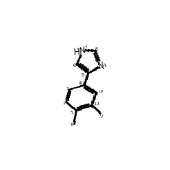 Cc1ccc(-c2c[nH]cn2)cc1C